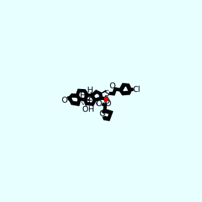 C[C@@H]1C[C@H]2[C@@H]3CCC4=CC(=O)C=C[C@]4(C)[C@@]3(F)[C@@H](O)C[C@]2(C)[C@@]1(OC(=O)c1ccco1)C(=O)SCC(=O)c1ccc(Cl)cc1